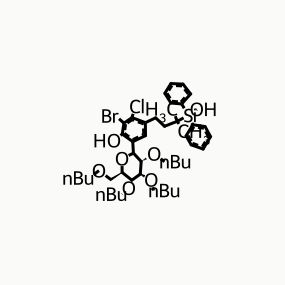 CCCCOC[C@H]1OC(c2cc(CCC(C)(C)[Si](O)(c3ccccc3)c3ccccc3)c(Cl)c(Br)c2O)[C@H](OCCCC)[C@@H](OCCCC)[C@@H]1OCCCC